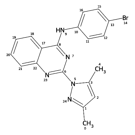 Cc1cc(C)n(-c2nc(Nc3ccc(Br)cc3)c3ccccc3n2)n1